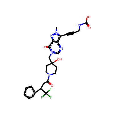 Cn1nc2c(=O)n(CC3(O)CCN(C(=O)CC(c4ccccc4)C(F)(F)F)CC3)cnc2c1C#CCNC(=O)O